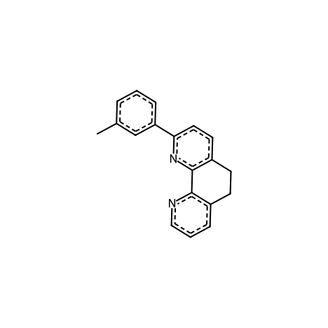 Cc1cccc(-c2ccc3c(n2)-c2ncccc2CC3)c1